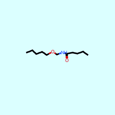 CCCCCOCNC(=O)CCCC